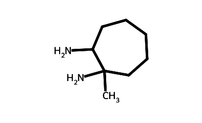 CC1(N)CCCCCC1N